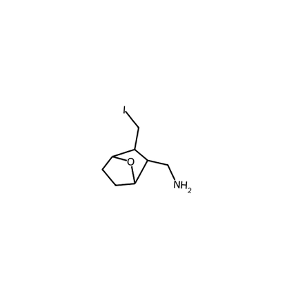 NCC1C2CCC(O2)C1CI